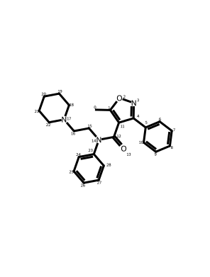 Cc1onc(-c2ccccc2)c1C(=O)N(CCN1CCCCC1)c1ccccc1